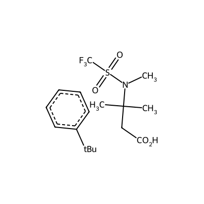 CC(C)(C)c1ccccc1.CN(C(C)(C)CC(=O)O)S(=O)(=O)C(F)(F)F